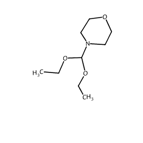 CCOC(OCC)N1CCOCC1